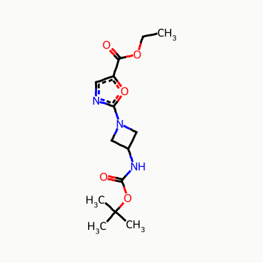 CCOC(=O)c1cnc(N2CC(NC(=O)OC(C)(C)C)C2)o1